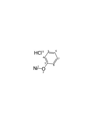 Cl.[Ni][O]c1ccccc1